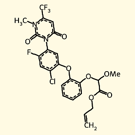 C=CCOC(=O)C(OC)Oc1ccccc1Oc1cc(-n2c(=O)cc(C(F)(F)F)n(C)c2=O)c(F)cc1Cl